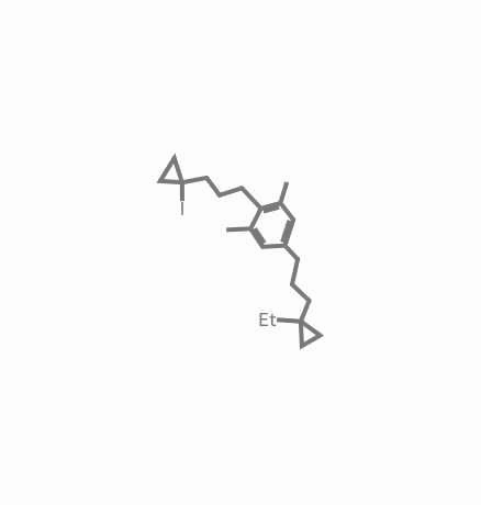 CCC1(CCCc2cc(C)c(CCCC3(I)CC3)c(C)c2)CC1